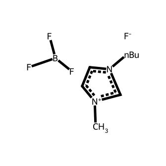 CCCCn1cc[n+](C)c1.FB(F)F.[F-]